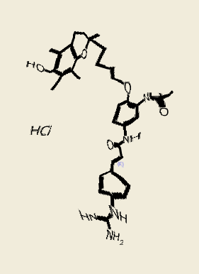 CC(=O)Nc1cc(NC(=O)/C=C/c2ccc(NC(=N)N)cc2)ccc1OCCCCC1(C)CCc2c(C)c(O)c(C)c(C)c2O1.Cl